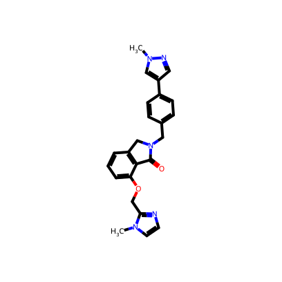 Cn1cc(-c2ccc(CN3Cc4cccc(OCc5nccn5C)c4C3=O)cc2)cn1